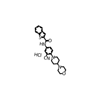 Cl.N#Cc1cc(NC(=O)c2cc3ccccc3s2)ccc1N1CCC(N2CCOCC2)CC1